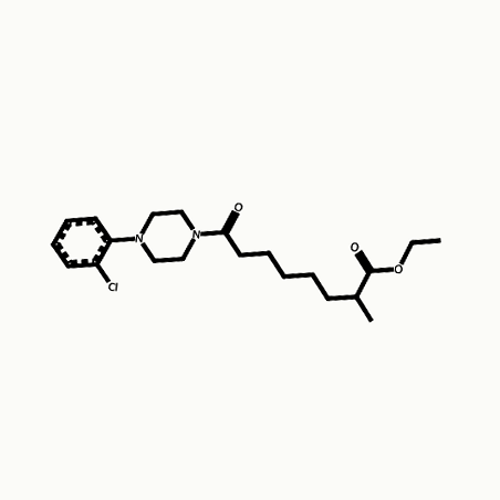 CCOC(=O)C(C)CCCCCC(=O)N1CCN(c2ccccc2Cl)CC1